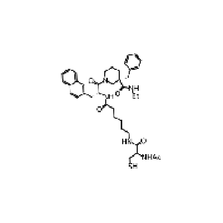 CCNC(=O)[C@]1(Cc2ccccc2)CCCN(C(=O)[C@@H](Cc2ccc3ccccc3c2)NC(=O)CCCCCNC(=O)C(CS)NC(C)=O)C1